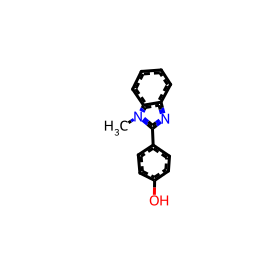 Cn1c(-c2ccc(O)cc2)nc2ccccc21